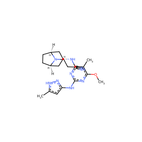 COc1nc(Nc2cc(C)[nH]n2)nc(N[C@@H]2C[C@H]3CC[C@@H](C2)N3CCC#N)c1C